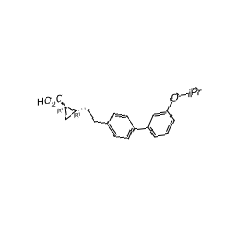 CC(C)Oc1cccc(-c2ccc(CC[C@@H]3C[C@H]3C(=O)O)cc2)c1